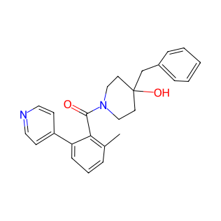 Cc1cccc(-c2ccncc2)c1C(=O)N1CCC(O)(Cc2ccccc2)CC1